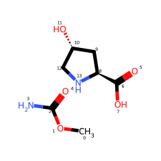 COC(N)=O.O=C(O)[C@@H]1C[C@@H](O)CN1